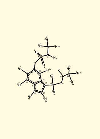 [2H]c1c(CS(=O)(=O)N([2H])C([2H])([2H])[2H])c([2H])c2c(C([2H])([2H])CN(C)C([2H])([2H])[2H])c([2H])n([2H])c2c1[2H]